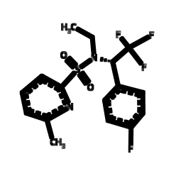 CCN([C@@H](c1ccc(F)cc1)C(F)(F)F)S(=O)(=O)c1cccc(C)n1